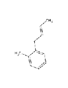 [CH2]C=CCc1ccccc1C